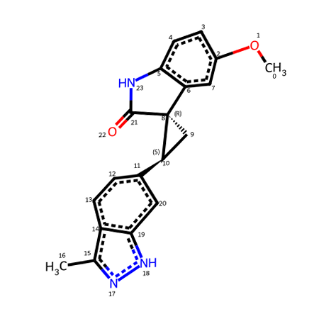 COc1ccc2c(c1)[C@]1(C[C@H]1c1ccc3c(C)n[nH]c3c1)C(=O)N2